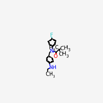 CCNc1ccc(CN(C(=O)C(C)(C)C)c2ccc(F)cc2)cc1